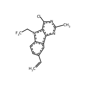 C=Cc1ccc2c(c1)c1nc(C)nc(Cl)c1n2CC(F)(F)F